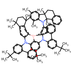 Cc1cc2c3c(C)c1C1(C)CCC(C)(C)c4cc5c(cc41)B1c4cc(ccc4N(c4ccc(C(C)(C)C)cc4-c4ccccc4)c4cc(C(C)(C)C)cc(c41)N5c1ccc(C(C)(C)C)cc1-c1ccccc1)N3C1(C)c3ccccc3CCC21C